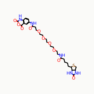 O=C(CCCCC1SCC2NC(=O)NC21)NCCOCCOCCOCCOCCC(=O)Nc1ccc2[nH]c(=O)oc(=O)c2c1